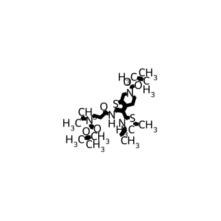 C/C=C/N=C(\SC(C)C)c1c(NC(=O)CCN(C(=O)OC(C)(C)C)C(C)C)sc2c1CCN(C(=O)OC(C)(C)C)C2